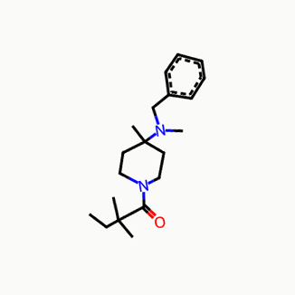 CCC(C)(C)C(=O)N1CCC(C)(N(C)Cc2ccccc2)CC1